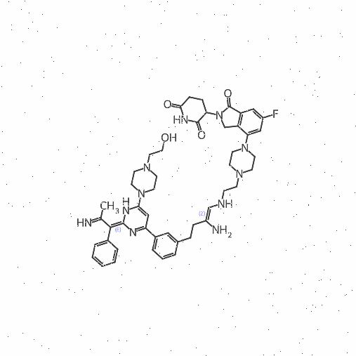 CC(=N)/C(=C1/N=C(c2cccc(CC/C(N)=C/NCCN3CCN(c4cc(F)cc5c4CN(C4CCC(=O)NC4=O)C5=O)CC3)c2)C=C(N2CCN(CCO)CC2)N1)c1ccccc1